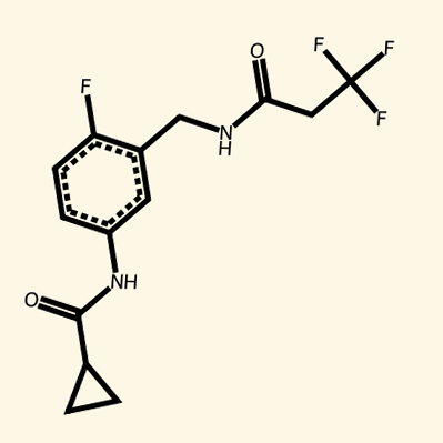 O=C(CC(F)(F)F)NCc1cc(NC(=O)C2CC2)ccc1F